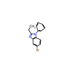 CCc1nc2cc(Br)ccc2n1-c1ccccc1